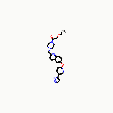 CCOCC(=O)N1CCN(Cc2ccc3cc(Oc4ccc(-c5ccn[nH]5)cn4)ccc3n2)CC1